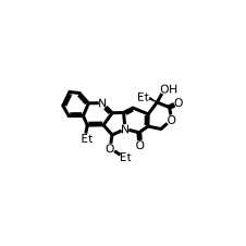 CCOC1c2c(nc3ccccc3c2CC)-c2cc3c(c(=O)n21)COC(=O)[C@]3(O)CC